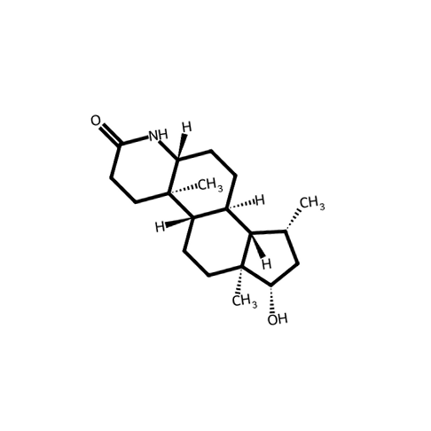 C[C@@H]1C[C@H](O)[C@@]2(C)CC[C@H]3[C@@H](CC[C@H]4NC(=O)CC[C@@]43C)[C@H]12